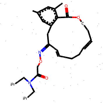 Cc1cc(C)c2c(c1)CC(=N/OCC(=O)N(CC(C)C)CC(C)C)/C=C/CC/C=C/CCOC2=O